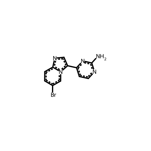 Nc1nccc(-c2cnc3ccc(Br)cn23)n1